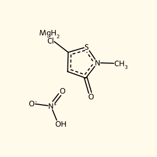 Cn1sc(Cl)cc1=O.O=[N+]([O-])O.[MgH2]